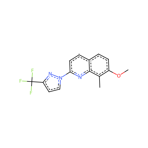 COc1ccc2[c]cc(-n3ccc(C(F)(F)F)n3)nc2c1C